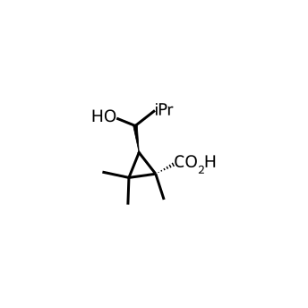 CC(C)C(O)[C@@H]1C(C)(C)[C@@]1(C)C(=O)O